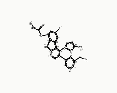 CCNC(=O)Oc1cc(F)cc2c1[nH]c1ncc(-c3cncc(CC#N)c3)c(-n3ccc(C(F)(F)F)n3)c12